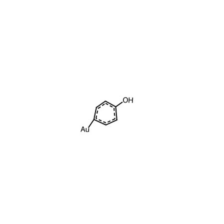 Oc1cc[c]([Au])cc1